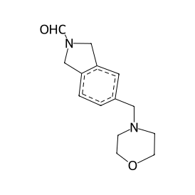 O=CN1Cc2ccc(CN3CCOCC3)cc2C1